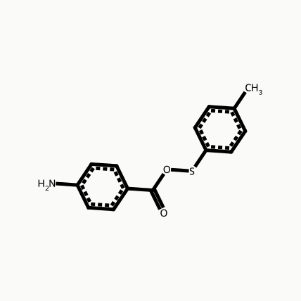 Cc1ccc(SOC(=O)c2ccc(N)cc2)cc1